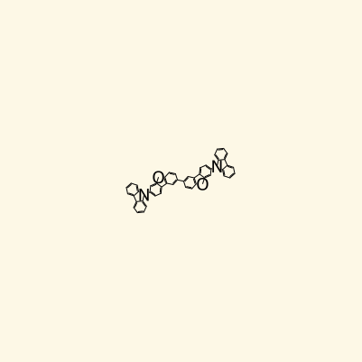 c1ccc2c(c1)c1ccccc1n2-c1ccc2c(c1)oc1ccc(-c3ccc4oc5cc(-n6c7ccccc7c7ccccc76)ccc5c4c3)cc12